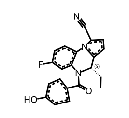 CC[C@H]1c2ccc(C#N)n2-c2ccc(F)cc2N1C(=O)c1ccc(O)cc1